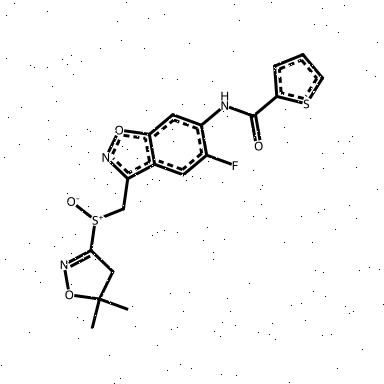 CC1(C)CC([S+]([O-])Cc2noc3cc(NC(=O)c4cccs4)c(F)cc23)=NO1